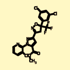 COC(=O)c1cc(C2=NOC(c3cc(Cl)cc(Cl)c3)(C(F)(F)F)C2)nn1-c1ncccc1Cl